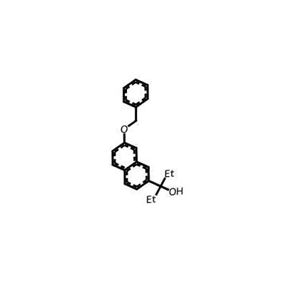 CCC(O)(CC)c1ccc2ccc(OCc3ccccc3)cc2c1